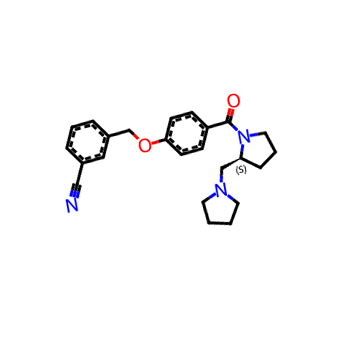 N#Cc1cccc(COc2ccc(C(=O)N3CCC[C@H]3CN3CCCC3)cc2)c1